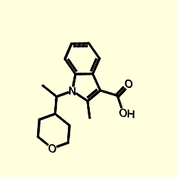 Cc1c(C(=O)O)c2ccccc2n1C(C)C1CCOCC1